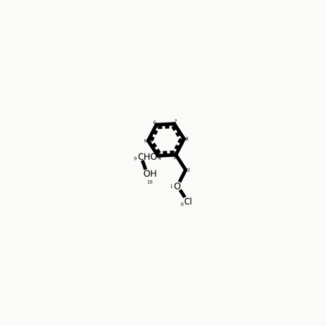 ClOCc1ccccc1.O=CO